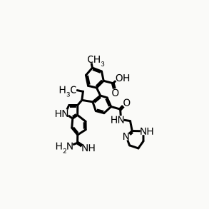 CCC(c1ccc(C(=O)NCC2=NCCCN2)cc1-c1ccc(C)cc1C(=O)O)c1c[nH]c2cc(C(=N)N)ccc12